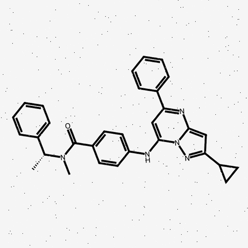 C[C@H](c1ccccc1)N(C)C(=O)c1ccc(Nc2cc(-c3ccccc3)nc3cc(C4CC4)nn23)cc1